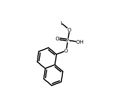 O=P(O)(OI)Oc1cccc2ccccc12